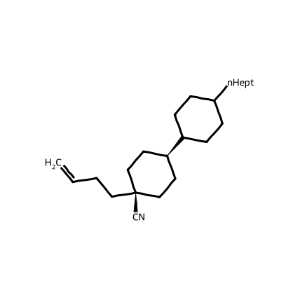 C=CCC[C@]1(C#N)CC[C@@H](C2CCC(CCCCCCC)CC2)CC1